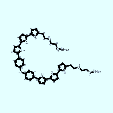 CCCCCCOCCOCCc1ccc(-c2ccc(-c3ccc(-c4ccc(Oc5ccc(-c6ccc(-c7ccc(-c8ccc(CCOCCOCCCCCC)s8)s7)s6)cc5)cc4)s3)s2)s1